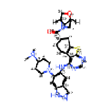 CN(C)C1CCN(c2cc3[nH]ncc3cc2Nc2ncnc3sc4c(c23)CC[C@H](C(=O)N2C[C@@H]3C[C@H]2CO3)C4)CC1